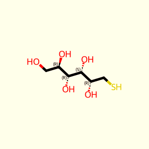 OC[C@@H](O)[C@@H](O)[C@H](O)[C@@H](O)CS